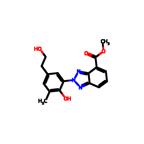 COC(=O)c1cccc2nn(-c3cc(CCO)cc(C)c3O)nc12